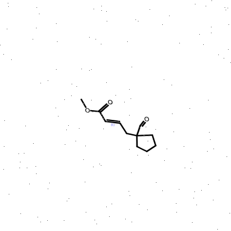 COC(=O)/C=C/CC1(C=O)CCCC1